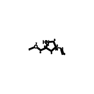 C=C[C@H]1CNC(COC)C1